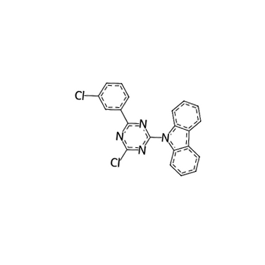 Clc1cccc(-c2nc(Cl)nc(-n3c4ccccc4c4ccccc43)n2)c1